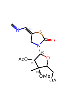 C=N/C=C1\CN([C@@H]2OC(COC(C)=O)[C@@](C)(OC)[C@H]2OC(C)=O)C(=O)S1